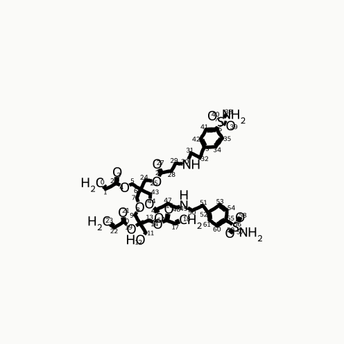 C=CC(=O)OCC(COCC(CO)(COC(=O)C=C)OC(=O)C=C)(COC(=O)CCNCCc1ccc(S(N)(=O)=O)cc1)COC(=O)CCNCCc1ccc(S(N)(=O)=O)cc1